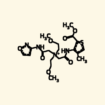 COCC[N+](CCOC)(CC(=O)Nc1ccon1)CC(=O)Nc1c(C)csc1C(=O)OC